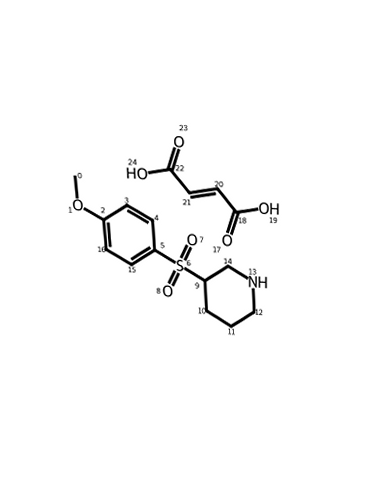 COc1ccc(S(=O)(=O)C2CCCNC2)cc1.O=C(O)C=CC(=O)O